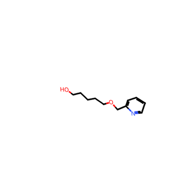 OCCCCCOCc1ccccn1